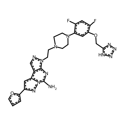 Nc1nc2c(cnn2CCN2CCN(c3cc(OCc4nnn[nH]4)c(F)cc3F)CC2)c2cc(-c3ccco3)nn12